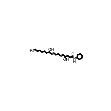 O=C(CCC(O)/C=C/CC/C=C/C(O)CCCCCCO)NC1CCCCC1